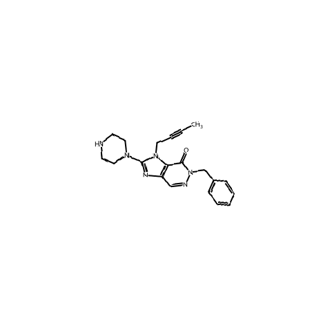 CC#CCn1c(N2CCNCC2)nc2cnn(Cc3ccccc3)c(=O)c21